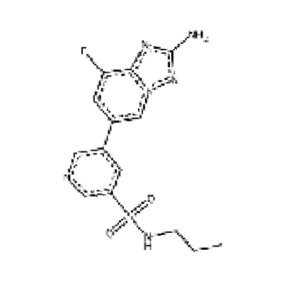 CCCNS(=O)(=O)c1cncc(-c2cc(F)c3nc(N)nn3c2)c1